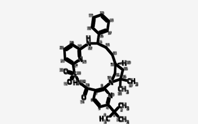 CC(C)(C)c1ccc2c(n1)N1C[C@@H](CCC(c3ccccc3)Nc3cccc(n3)S(=O)(=O)NC2=O)CC1(C)C